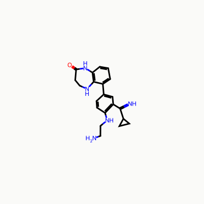 N=C(c1cc(-c2cccc3c2NCCC(=O)N3)ccc1NCCN)C1CC1